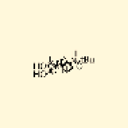 CC(C)(C)C(=O)Nc1ccnc2c1ncn2[C@@H]1O[C@H](CO)C(O)[C@@H]1F